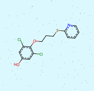 Oc1cc(Cl)c(OCCCSc2ccccn2)c(Cl)c1